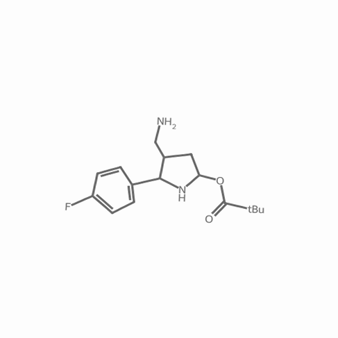 CC(C)(C)C(=O)OC1CC(CN)C(c2ccc(F)cc2)N1